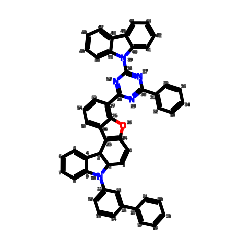 C1=CC2C(c3ccccc3N2c2cccc(-c3ccccc3)c2)c2c1oc1c(-c3nc(-c4ccccc4)nc(-n4c5ccccc5c5ccccc54)n3)cccc21